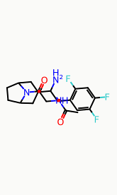 CC(=O)NCC(=O)N1C2CCC1CC(C(N)Cc1cc(F)c(F)cc1F)C2